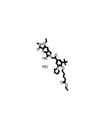 CCOC(=O)CCCCOc1c(N2CCCC2)cc(C(=O)CN2Cc3cc(OCC)c(C(=O)NC)nc3C2=N)cc1C(C)(C)C.Cl